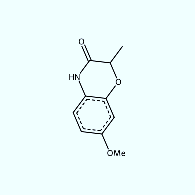 COc1ccc2c(c1)OC(C)C(=O)N2